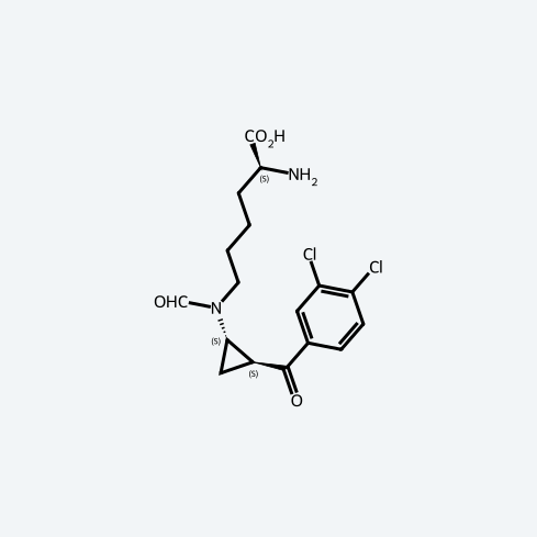 N[C@@H](CCCCN(C=O)[C@H]1C[C@@H]1C(=O)c1ccc(Cl)c(Cl)c1)C(=O)O